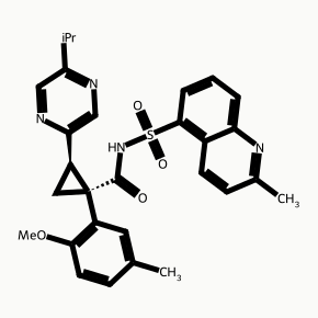 COc1ccc(C)cc1[C@@]1(C(=O)NS(=O)(=O)c2cccc3nc(C)ccc23)C[C@H]1c1cnc(C(C)C)cn1